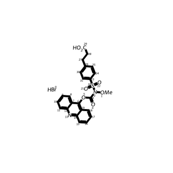 Br.CON(C(=O)Oc1c2ccccc2nc2ccccc12)S(=O)(=O)c1ccc(CCC(=O)O)cc1